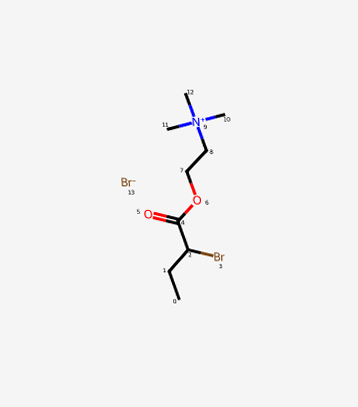 CCC(Br)C(=O)OCC[N+](C)(C)C.[Br-]